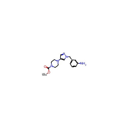 CC(C)(C)OC(=O)N1CCN(c2cnn(Cc3cccc(N)c3)c2)CC1